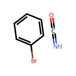 Brc1ccccc1.N=C=O